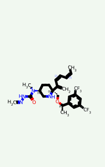 C=NNC(=O)N(C)[C@H]1CC[C@@](CO[C@H](C)c2cc(C(F)(F)F)cc(C(F)(F)F)c2)(C(=C)/C=C\C=C/C)NC1